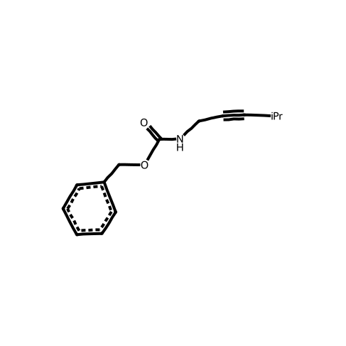 CC(C)C#CCNC(=O)OCc1ccccc1